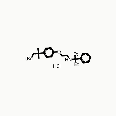 CCC(CC)(NCCOc1ccc(C(C)(C)CC(C)(C)C)cc1)c1ccccc1.Cl